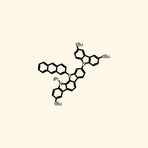 CC(C)n1c2ccc(C(C)(C)C)cc2c2ccc3c4ccc(-n5c6ccc(C(C)(C)C)cc6c6cc(C(C)(C)C)ccc65)cc4n(-c4ccc5cc6ccccc6cc5c4)c3c21